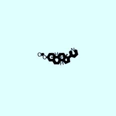 C[C@]12CC[C@H](OC=O)CC1=CC[C@@H]1[C@@H]2CC[C@]2(C)C(c3cccnc3)=CC[C@@H]12